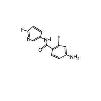 Nc1ccc(C(=O)Nc2ccc(F)nc2)c(F)c1